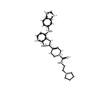 O=C(NCCN1CCCC1)N1CC=C(C2Cc3c(Nc4ccc5ncsc5c4)ccnc3N2)CC1